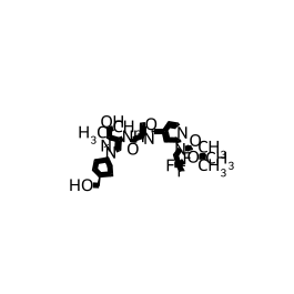 CC(C)(C)OC(=O)N(CC(F)(F)F)c1cc(-c2nc(C(=O)Nc3cn([C@H]4CC[C@H](CO)CC4)nc3C(C)(C)O)co2)ccn1